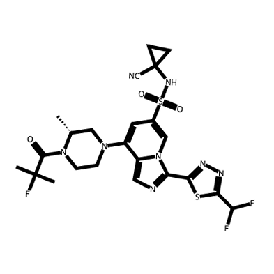 C[C@@H]1CN(c2cc(S(=O)(=O)NC3(C#N)CC3)cn3c(-c4nnc(C(F)F)s4)ncc23)CCN1C(=O)C(C)(C)F